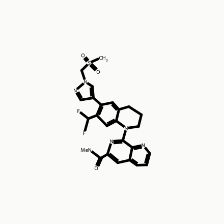 CNC(=O)c1cc2cccnc2c(N2CCCc3cc(-c4cnn(CS(C)(=O)=O)c4)c(C(F)F)cc32)n1